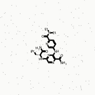 CCN(CC)C(=O)c1ccc(Nc2nc(N[C@H](CC(C)C)C(N)=O)cnc2C(N)=O)cn1